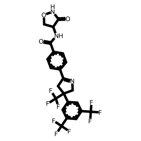 O=C(NC1CONC1=O)c1ccc(C2=NCC(c3cc(C(F)(F)F)cc(C(F)(F)F)c3)(C(F)(F)F)C2)cc1